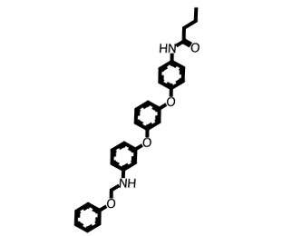 CCCC(=O)Nc1ccc(Oc2cccc(Oc3cccc(NCOc4ccccc4)c3)c2)cc1